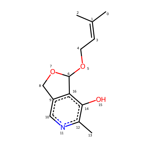 CC(C)=CCOC1OCc2cnc(C)c(O)c21